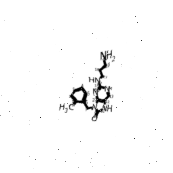 Cc1ccccc1Cn1c(=O)[nH]c2cnc(NCCCN)nc21